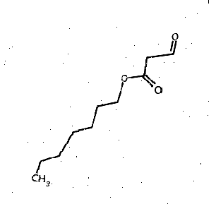 CCCCCCCOC(=O)CC=O